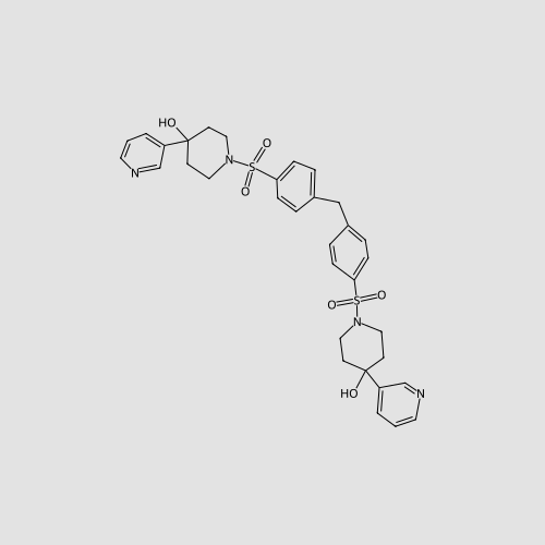 O=S(=O)(c1ccc(Cc2ccc(S(=O)(=O)N3CCC(O)(c4cccnc4)CC3)cc2)cc1)N1CCC(O)(c2cccnc2)CC1